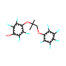 CC(C)(COc1c(F)c(F)c(F)c(F)c1F)Oc1c(F)c(F)c(O)c(F)c1F